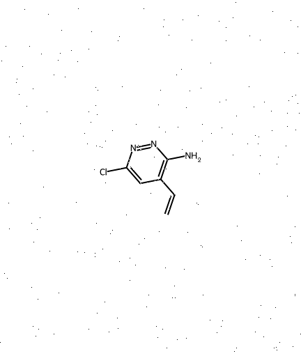 C=Cc1cc(Cl)nnc1N